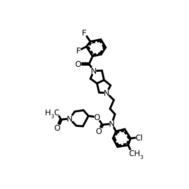 CC(=O)N1CCC(OC(=O)N(CCCN2CC3CN(C(=O)c4cccc(F)c4F)CC3C2)c2ccc(C)c(Cl)c2)CC1